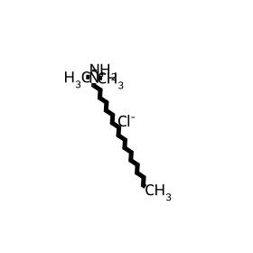 CCCCCCCCCCCCCCCCCC[N+](C)(C)N.[Cl-]